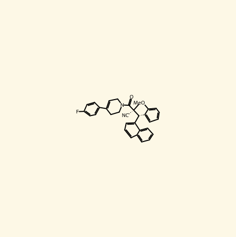 COc1ccccc1[C@H](c1cccc2ccccc12)[C@@](C)(C#N)C(=O)N1CC=C(c2ccc(F)cc2)CC1